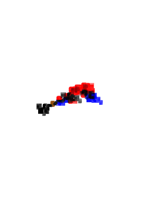 CC=C(C)C=CSCCNC(=O)CCNC(=O)C(O)C(C)(C)COP(=O)(O)OP(=O)(O)OC[C@H]1O[C@@H](n2cnc3c(N)ncnc32)[C@H](O)[C@@H]1OP(=O)(O)O